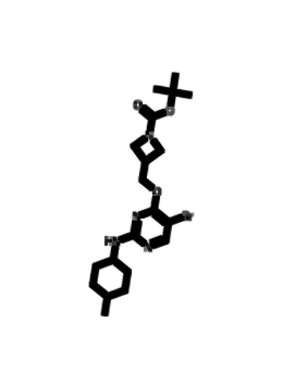 CC1CCC(Nc2ncc(Br)c(OCC3CN(C(=O)OC(C)(C)C)C3)n2)CC1